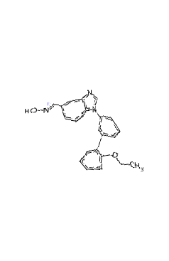 CCOc1ccccc1-c1cccc(-n2cnc3cc(/C=N/O)ccc32)c1